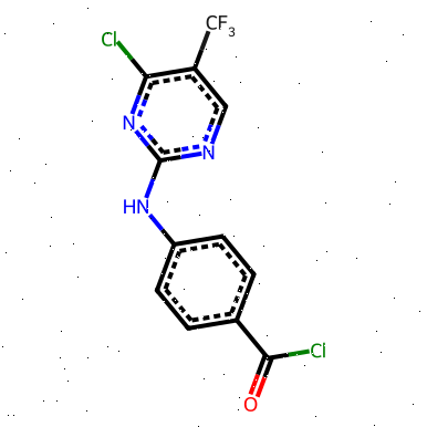 O=C(Cl)c1ccc(Nc2ncc(C(F)(F)F)c(Cl)n2)cc1